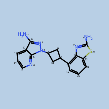 Nc1nc2c(C3CC(n4nc(N)c5cccnc54)C3)cccc2s1